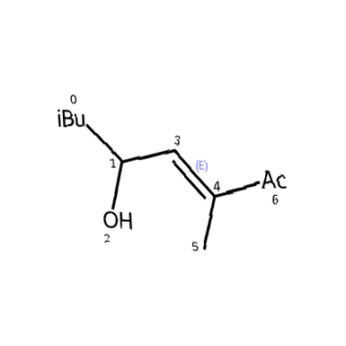 CCC(C)C(O)/C=C(\C)C(C)=O